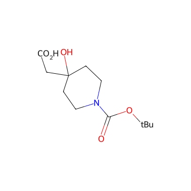 CC(C)(C)OC(=O)N1CCC(O)(CC(=O)O)CC1